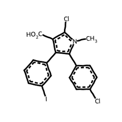 Cn1c(Cl)c(C(=O)O)c(-c2cccc(I)c2)c1-c1ccc(Cl)cc1